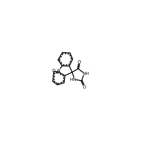 O=C1NC(=O)C(c2ccccc2)(c2ccccc2[N+](=O)[O-])N1